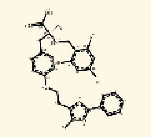 Cc1oc(-c2ccccc2)nc1CCOc1ccc(C[C@](C)(NCc2c(F)cc(F)cc2F)C(=O)O)cc1